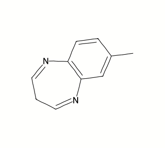 Cc1ccc2c(c1)N=CCC=N2